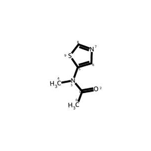 CC(=O)N(C)c1cncs1